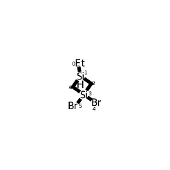 CC[SiH]1C[Si](Br)(Br)C1